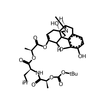 CC(C)C[C@H](NC(=O)[C@H](C)OC(=O)OC(C)(C)C)C(=O)O[C@@H](C)C(=O)OC1=CC[C@@]2(O)[C@H]3Cc4ccc(O)c5c4[C@@]2(CCN3C)[C@H]1O5